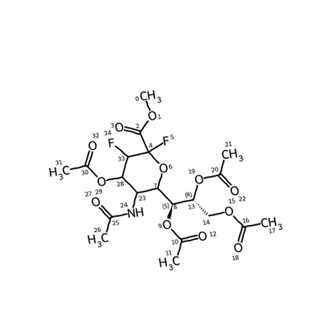 COC(=O)C1(F)OC([C@H](OC(C)=O)[C@@H](COC(C)=O)OC(C)=O)C(NC(C)=O)C(OC(C)=O)C1F